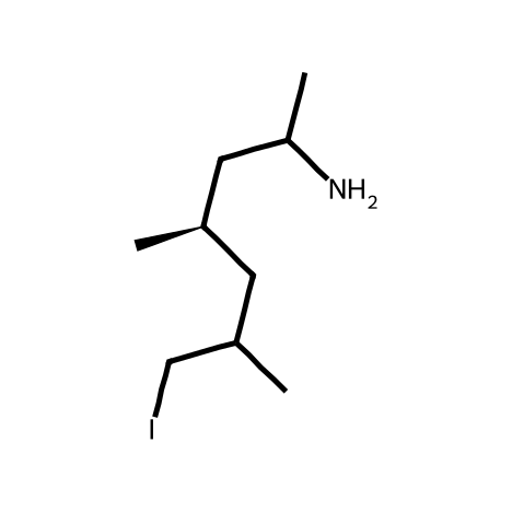 CC(N)C[C@H](C)CC(C)CI